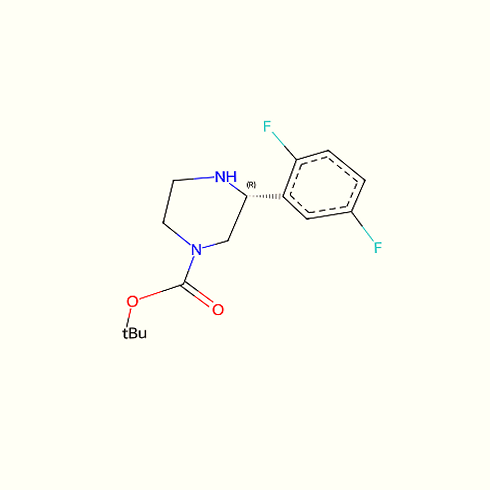 CC(C)(C)OC(=O)N1CCN[C@H](c2cc(F)ccc2F)C1